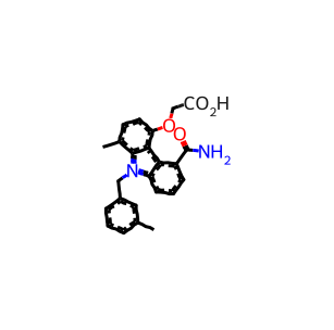 Cc1cccc(Cn2c3cccc(C(N)=O)c3c3c(OCC(=O)O)ccc(C)c32)c1